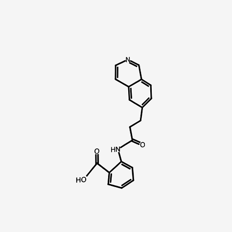 O=C(CCc1ccc2cnccc2c1)Nc1ccccc1C(=O)O